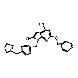 Nc1nc(OCc2ccncc2)nc2c1cc(Cl)n2Cc1ccc(CN2CCCC2)cc1